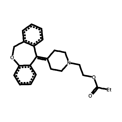 CCC(=O)OCCN1CCC(=C2c3ccccc3COc3ccccc32)CC1